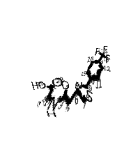 C[C@@H](NC(=O)Cc1csc(-c2ccc(C(F)(F)F)cc2)n1)C(=O)O